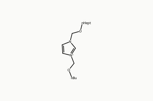 CCCCCCCOCn1cc[n+](COCCCC)c1